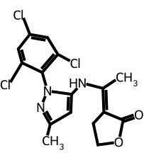 CC(Nc1cc(C)nn1-c1c(Cl)cc(Cl)cc1Cl)=C1CCOC1=O